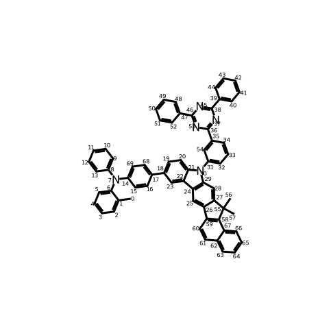 Cc1ccccc1N(c1ccccc1)c1ccc(-c2ccc3c(c2)c2cc4c(cc2n3-c2cccc(-c3nc(-c5ccccc5)nc(-c5ccccc5)n3)c2)C(C)(C)c2c-4ccc3ccccc23)cc1